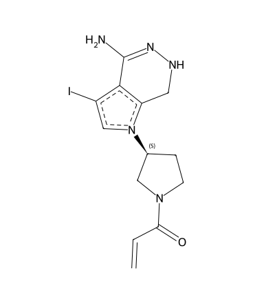 C=CC(=O)N1CC[C@H](n2cc(I)c3c2CNN=C3N)C1